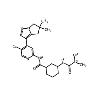 C[C@H](O)C(=O)NC1CCCC(C(=O)Nc2cc(-c3cnn4c3CC(C)(C)C4)c(Cl)cn2)C1